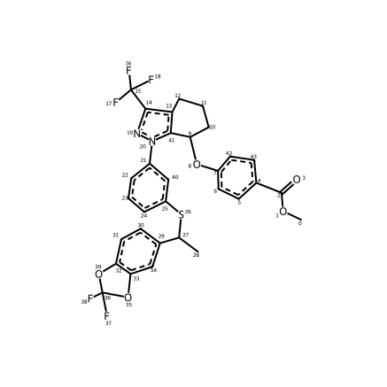 COC(=O)c1ccc(OC2CCCc3c(C(F)(F)F)nn(-c4cccc(SC(C)c5ccc6c(c5)OC(F)(F)O6)c4)c32)cc1